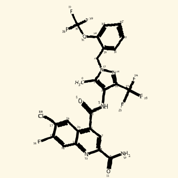 Cc1c(NC(=O)c2cc(C(N)=O)nc3cc(F)c(Cl)cc23)c(C(F)(F)F)nn1Cc1ccccc1OC(F)(F)F